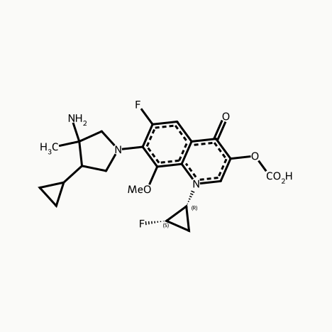 COc1c(N2CC(C3CC3)C(C)(N)C2)c(F)cc2c(=O)c(OC(=O)O)cn([C@@H]3C[C@@H]3F)c12